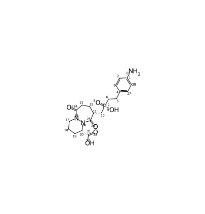 Nc1ccc(CCP(=O)(O)C[C@H]2CCC(=O)N3CCC[C@@H](C(=O)O)N3C2=O)cc1